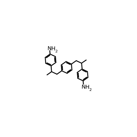 CC(Cc1ccc(CC(C)c2ccc(N)cc2)cc1)c1ccc(N)cc1